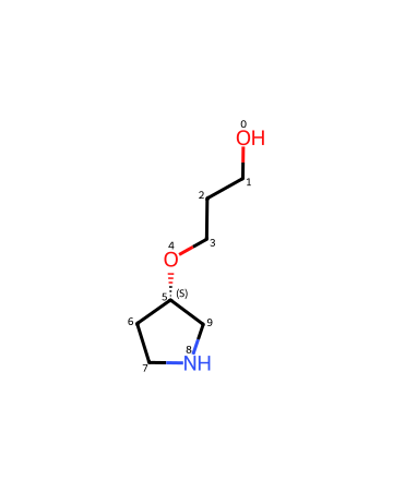 OCCCO[C@H]1CCNC1